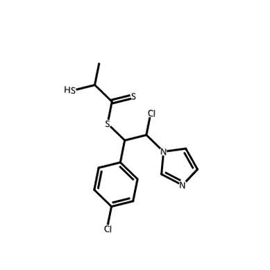 CC(S)C(=S)SC(c1ccc(Cl)cc1)C(Cl)n1ccnc1